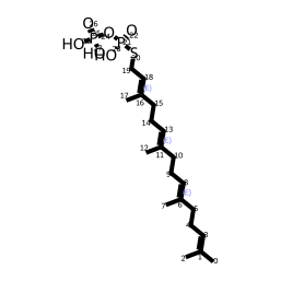 CC(C)=CCC/C(C)=C/CC/C(C)=C/CC/C(C)=C/CSP(=O)(O)OP(=O)(O)O